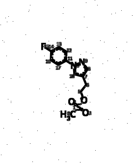 CS(=O)(=O)OCCc1cnn(-c2ccc(F)cc2)c1